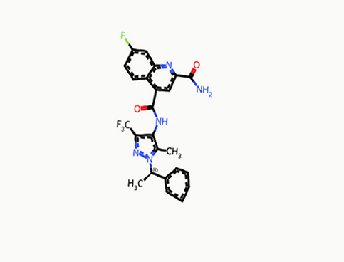 Cc1c(NC(=O)c2cc(C(N)=O)nc3cc(F)ccc23)c(C(F)(F)F)nn1[C@H](C)c1ccccc1